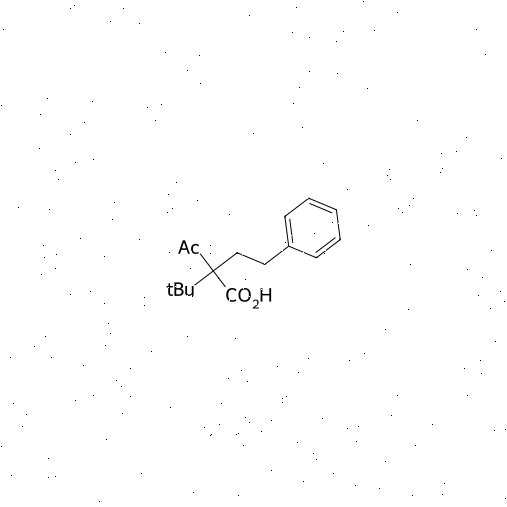 CC(=O)C(CCc1ccccc1)(C(=O)O)C(C)(C)C